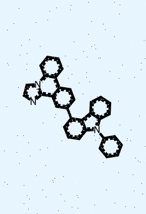 c1ccc(-n2c3ccccc3c3c(-c4ccc5c6ccccc6n6ccnc6c5c4)cccc32)cc1